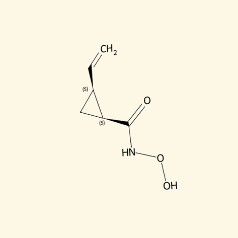 C=C[C@@H]1C[C@@H]1C(=O)NOO